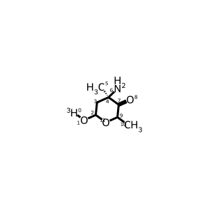 [3H]OC1C[C@@](C)(N)C(=O)C(C)O1